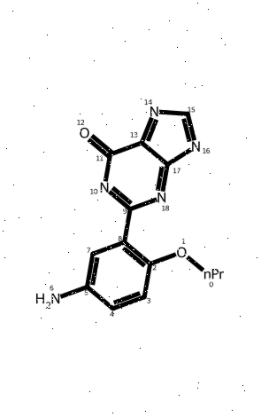 CCCOc1ccc(N)cc1C1=NC(=O)C2=NC=NC2=N1